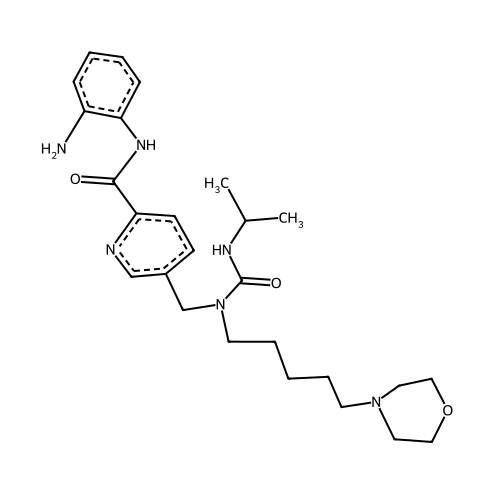 CC(C)NC(=O)N(CCCCCN1CCOCC1)Cc1ccc(C(=O)Nc2ccccc2N)nc1